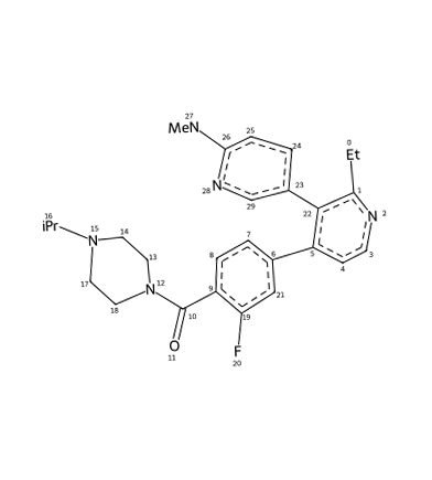 CCc1nccc(-c2ccc(C(=O)N3CCN(C(C)C)CC3)c(F)c2)c1-c1ccc(NC)nc1